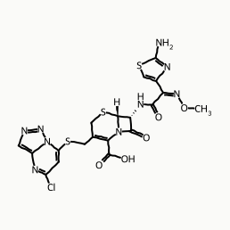 CO/N=C(\C(=O)N[C@@H]1C(=O)N2C(C(=O)O)=C(CSc3cc(Cl)nc4cnnn34)CS[C@H]12)c1csc(N)n1